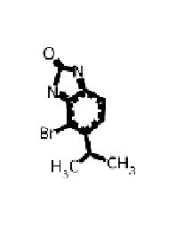 CC(C)c1ccc2c(c1Br)=NC(=O)N=2